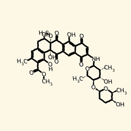 COC(=O)c1c(C)cc2c(c1O)[C@]1(O)C(=O)c3cc4c(c(O)c3C(=O)[C@]1(OC)[C@H](O)C2)C(=O)C=C(NC1O[C@@H](C)[C@H](O[C@@H]2CC[C@H](O)[C@H](C)O2)[C@@H](O)[C@H]1C)C4=O